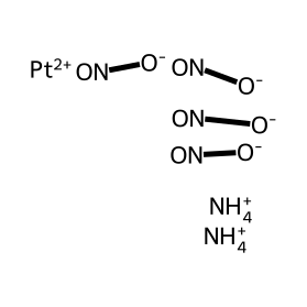 O=N[O-].O=N[O-].O=N[O-].O=N[O-].[NH4+].[NH4+].[Pt+2]